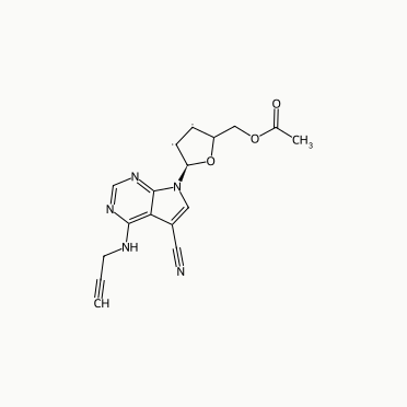 C#CCNc1ncnc2c1c(C#N)cn2[C@H]1[CH][CH]C(COC(C)=O)O1